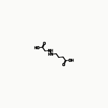 O=C(O)CCCNNCC(=O)O